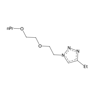 CCCOCCOCCn1cc(CC)nn1